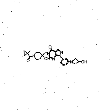 CC1(C(=O)N2CCC(O)(Cn3cnc4c(cnn4-c4cccc(N5CC(O)C5)c4)c3=O)CC2)CC1